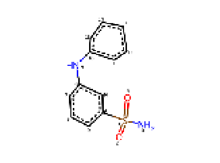 NS(=O)(=O)c1[c]ccc(Nc2ccccc2)c1